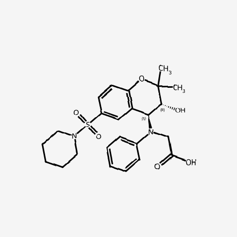 CC1(C)Oc2ccc(S(=O)(=O)N3CCCCC3)cc2[C@H](N(CC(=O)O)c2ccccc2)[C@H]1O